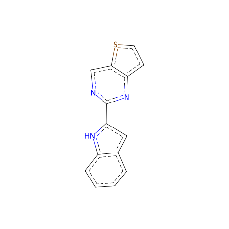 c1ccc2[nH]c(-c3ncc4sccc4n3)cc2c1